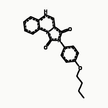 CCCCOc1ccc(-n2c(=O)c3c[nH]c4ccccc4n-3c2=O)cc1